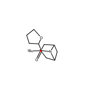 CC(C)(C)N1CC2CC(C1)N2C(=O)C1CCCO1